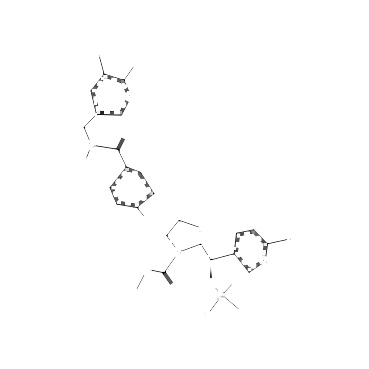 Cc1cc(CN(C)C(=O)c2ccc(C[C@@H]3CC[C@H]([C@H](O[Si](C)(C)C(C)(C)C)c4ccc(Cl)nc4)N3C(=O)OC(C)(C)C)cc2)cnc1F